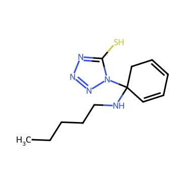 CCCCCNC1(n2nnnc2S)C=CC=CC1